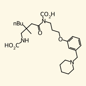 CCCCC(C)(CNC(=O)O)CC(=O)N(CCCOc1cccc(CN2CCCCC2)c1)C(=O)O